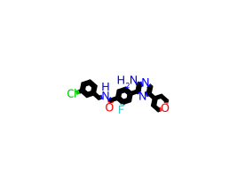 Nc1ncc(C2=CCOCC2)nc1-c1ccc(C(=O)NCc2cccc(Cl)c2)c(F)c1